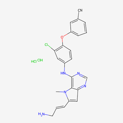 Cl.Cl.Cn1c(/C=C/CN)cc2ncnc(Nc3ccc(Oc4cccc(C#N)c4)c(Cl)c3)c21